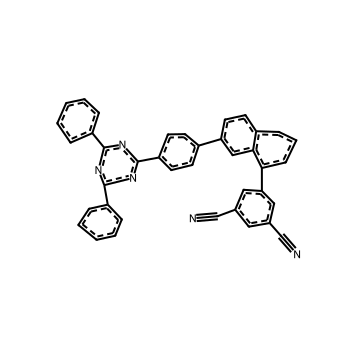 N#Cc1cc(C#N)cc(-c2cccc3ccc(-c4ccc(-c5nc(-c6ccccc6)nc(-c6ccccc6)n5)cc4)cc23)c1